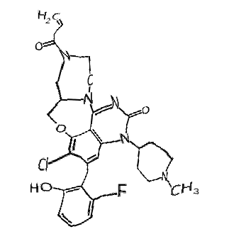 C=CC(=O)N1CCN2c3nc(=O)n(C4CCN(C)CC4)c4cc(-c5c(O)cccc5F)c(Cl)c(c34)OCC2C1